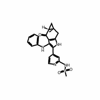 C[C@@]12Cc3[nH]c(-c4ccnc(NS(C)(=O)=O)c4)c(Nc4ccccc4)c3C(=O)[C@@H]1C2